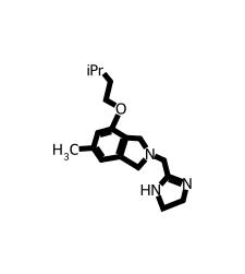 Cc1cc2c(c(OCCC(C)C)c1)CN(CC1=NCCN1)C2